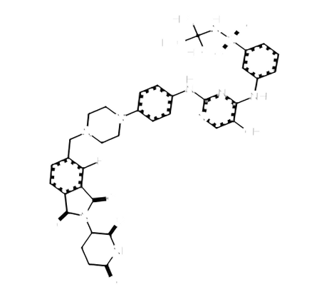 Cc1cnc(Nc2ccc(N3CCN(Cc4ccc5c(c4F)C(=O)N(C4CCC(=O)NC4=O)C5=O)CC3)cc2)nc1Nc1cccc(S(=O)(=O)NC(C)(C)C)c1